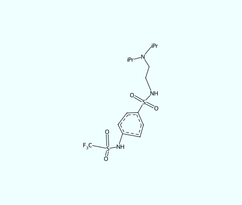 CC(C)N(CCNS(=O)(=O)c1ccc(NS(=O)(=O)C(F)(F)F)cc1)C(C)C